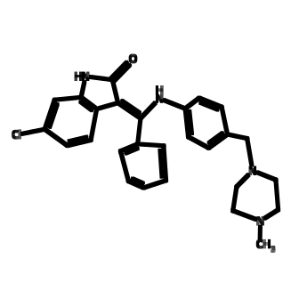 CN1CCN(Cc2ccc(N/C(=C3\C(=O)Nc4cc(Cl)ccc43)c3ccccc3)cc2)CC1